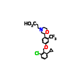 O=C(O)CCN1CCOC(c2ccc(OCc3c(Cl)cccc3C3CC3)cc2C(F)(F)F)C1